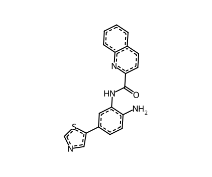 Nc1ccc(-c2cncs2)cc1NC(=O)c1ccc2ccccc2n1